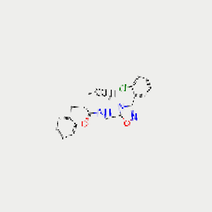 O=C(O)C[C@@H](Cc1ccccc1)C(=O)NCc1nc(-c2ccccc2Cl)no1